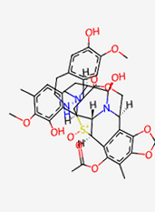 COc1cc2c(cc1O)CCN[C@]21C[S+]([O-])[C@@H]2c3c(OC(C)=O)c(C)c4c(c3[C@H](COC1=O)N1[C@H]2[C@H]2c3c(cc(C)c(OC)c3O)C[C@@H]([C@H]1O)N2C)OCO4